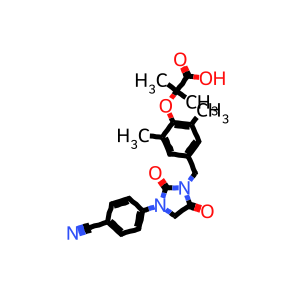 Cc1cc(CN2C(=O)CN(c3ccc(C#N)cc3)C2=O)cc(C)c1OC(C)(C)C(=O)O